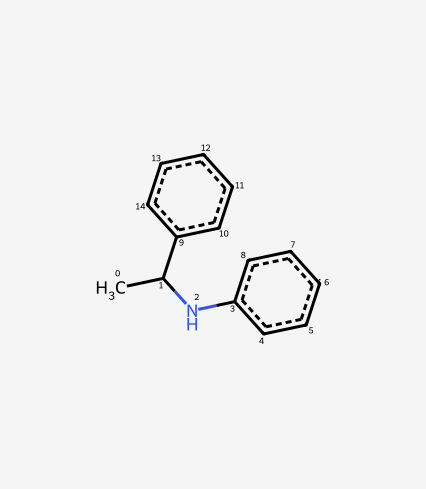 CC(Nc1cc[c]cc1)c1ccccc1